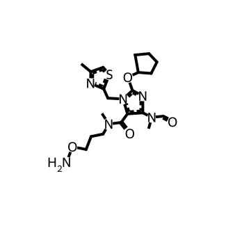 Cc1csc(Cn2c(OC3CCCC3)nc(N(C)C=O)c2C(=O)N(C)CCCON)n1